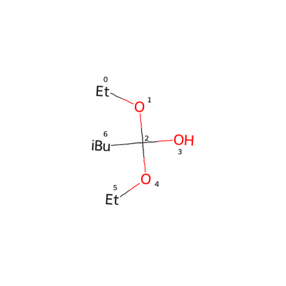 CCOC(O)(OCC)C(C)CC